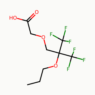 CCCOC(COCC(=O)O)(C(F)(F)F)C(F)(F)F